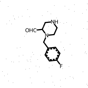 O=CC1CNCCN1Cc1ccc(F)cc1